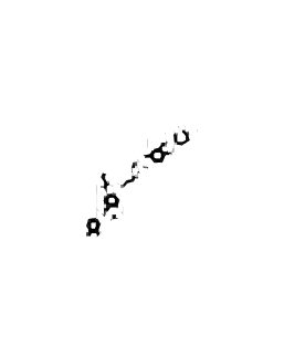 C=CC(=O)Nc1cc2c(Nc3ccc(F)c(Cl)c3)ncnc2cc1OCCCN1CCN(Cc2ccc3c(c2F)C(=O)N(C2CCC(=O)NC2=O)C3=O)CC1